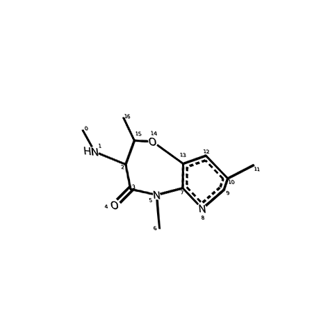 CNC1C(=O)N(C)c2ncc(C)cc2OC1C